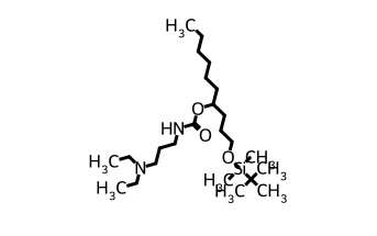 CCCCCCC(CCCO[Si](C)(C)C(C)(C)C)OC(=O)NCCCN(CC)CC